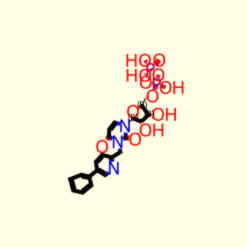 O=c1ccn([C@@H]2O[C@H](COP(=O)(O)OP(=O)(O)O)[C@H](O)C2O)c(=O)n1Cc1ccc(-c2ccccc2)cn1